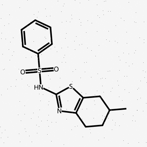 CC1CCc2nc(NS(=O)(=O)c3ccccc3)sc2C1